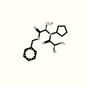 CC(C)[C@H](N)C(=O)N(C1CCCC1)[C@H](C(=O)O)C(=O)OCc1ccccc1